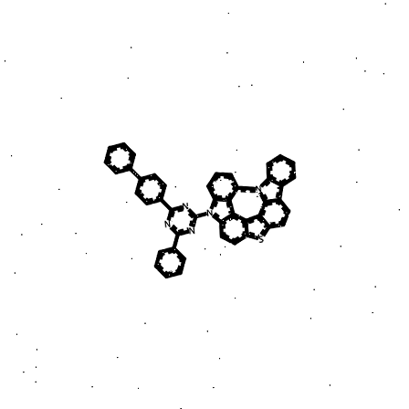 c1ccc(-c2ccc(-c3nc(-c4ccccc4)nc(-n4c5ccc6sc7ccc8c9ccccc9n9c%10cccc4c%10c5c6c7c89)n3)cc2)cc1